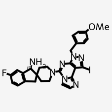 COc1ccc(Cn2nc(I)c3c2nc(N2CCC4(CC2)Cc2ccc(F)cc2[C@H]4N)n2ccnc32)cc1